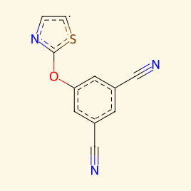 N#Cc1cc(C#N)cc(Oc2nc[c]s2)c1